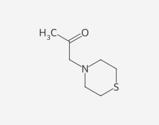 CC(=O)CN1CCSCC1